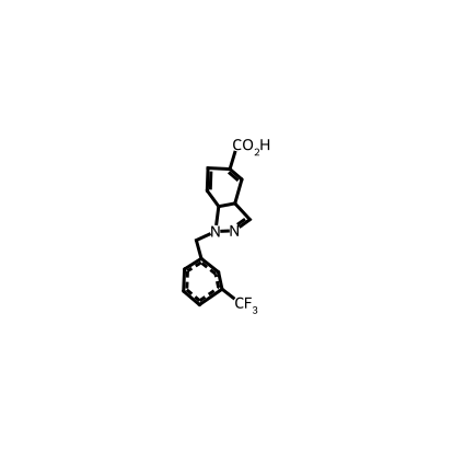 O=C(O)C1=CC2C=NN(Cc3cccc(C(F)(F)F)c3)C2C=C1